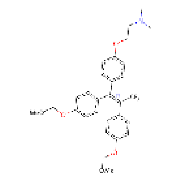 COCOc1ccc(/C(=C(\c2ccc(OCOC)cc2)C(F)(F)F)c2ccc(OCCN(C)C)cc2)cc1